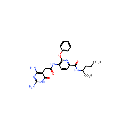 Nc1nc(N)c(CC(=O)Nc2ccc(C(=O)NC(CCC(=O)O)C(=O)O)nc2Oc2ccccc2)c(=O)[nH]1